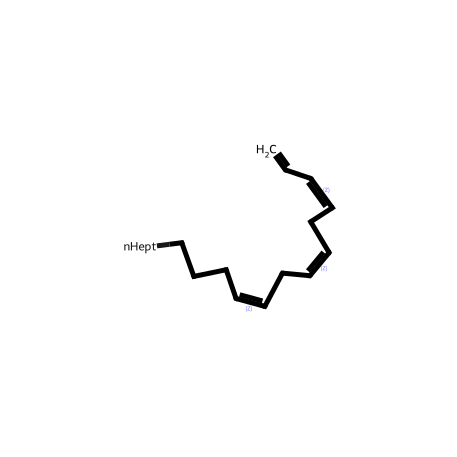 C=C/C=C\C/C=C\C/C=C\CCCCCCCCCC